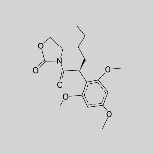 CCCC[C@H](C(=O)N1CCOC1=O)c1c(OC)cc(OC)cc1OC